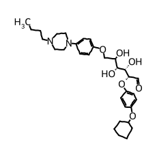 CCCCN1CCN(c2ccc(OC[C@@H](O)[C@@H](O)[C@H](O)[C@H](C=O)Oc3ccc(OC4CCCCC4)cc3)cc2)CC1